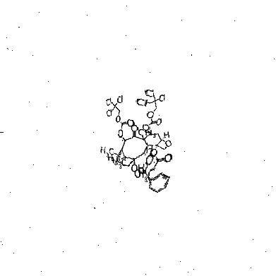 CC(=O)O[C@@]12CO[C@@H]1C[C@H](OC(=O)OCC(Cl)(Cl)Cl)[C@@]1(C)C(=O)[C@H](OC(=O)OCC(Cl)(Cl)Cl)C3=C(C)CC[C@@](O)([C@@H](OC(=O)c4ccccc4)[C@H]21)C3(C)C